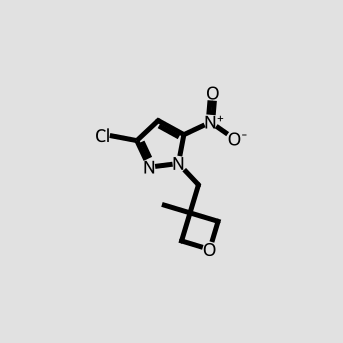 CC1(Cn2nc(Cl)cc2[N+](=O)[O-])COC1